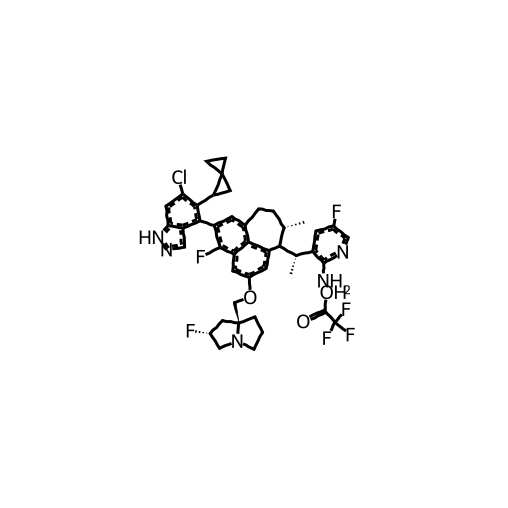 C[C@H]1CCc2cc(-c3c(C4CC45CC5)c(Cl)cc4[nH]ncc34)c(F)c3cc(OC[C@@]45CCCN4C[C@H](F)C5)cc(c23)C1[C@@H](C)c1cc(F)cnc1N.O=C(O)C(F)(F)F